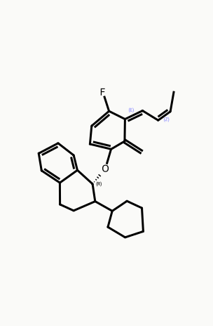 C=c1c(O[C@H]2c3ccccc3CCC2C2CCCCC2)ccc(F)/c1=C/C=C\C